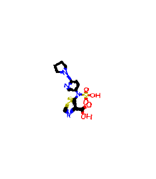 O=C(O)c1ncsc1N(c1ccc(N2CCCC2)nc1)S(=O)(=O)O